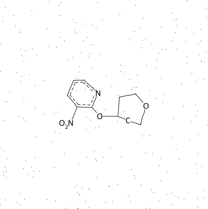 O=[N+]([O-])c1cccnc1OC1CCOCC1